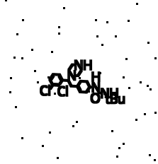 CC(C)(C)NC(=O)NC1CC=C(CC(c2cccc(Cl)c2Cl)N2CCNCC2)CC1